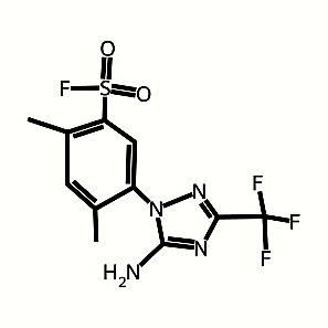 Cc1cc(C)c(S(=O)(=O)F)cc1-n1nc(C(F)(F)F)nc1N